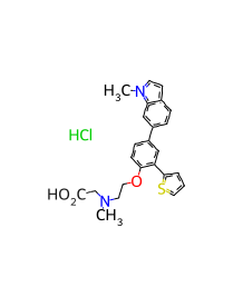 CN(CCOc1ccc(-c2ccc3ccn(C)c3c2)cc1-c1cccs1)CC(=O)O.Cl